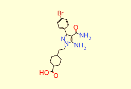 NC(=O)c1c(-c2ccc(Br)cc2)nn(CCC2CCC(C(=O)O)CC2)c1N